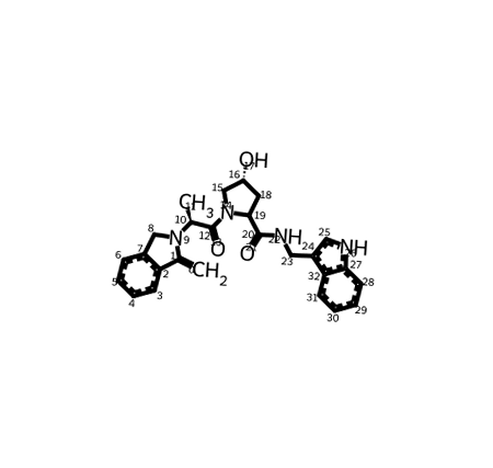 C=C1c2ccccc2CN1[C@@H](C)C(=O)N1C[C@H](O)CC1C(=O)NCc1c[nH]c2ccccc12